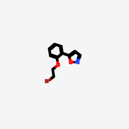 BrCCOc1ccccc1-c1ccno1